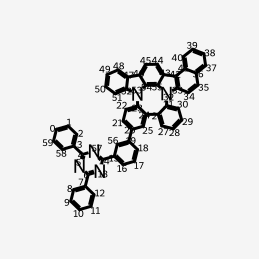 c1ccc(-c2nc(-c3ccccc3)nc(-c3cccc(-c4ccc5c(c4)c4ccccc4n4c6ccc7ccccc7c6c6ccc7c8ccccc8n5c7c64)c3)n2)cc1